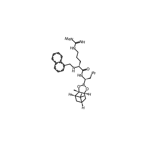 CNC(=N)NCCC[C@H](NCc1cccc2ccccc12)C(=O)N[C@@H](CC(C)C)B1O[C@@H]2C[C@@H]3C[C@@H](C3(C)C)[C@]2(C)O1